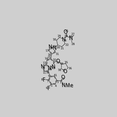 CNC(=O)c1cc(F)c(F)c(-c2cnc3cc(-c4cnn(C5CCN(C(=O)N(C)C)CC5)c4)c(O[C@H]4CCOC4)nn23)c1